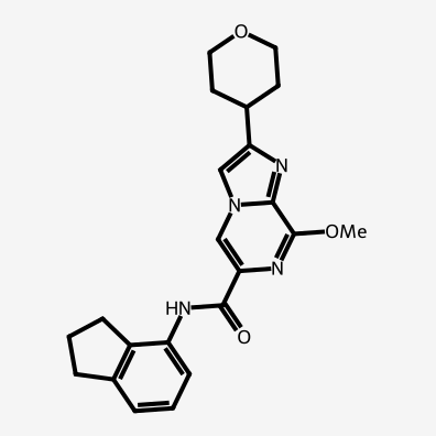 COc1nc(C(=O)Nc2cccc3c2CCC3)cn2cc(C3CCOCC3)nc12